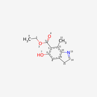 CCOC(=O)c1c(O)cc2c(c1C)N=CC2